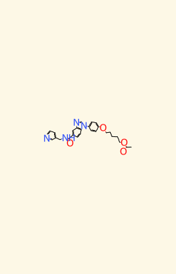 CC(=O)OCCCCCOc1ccc(-n2cnc3cc(C(=O)NCc4cccnc4)ccc32)cc1